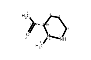 CC(=O)[C@@H]1CCCNN1C